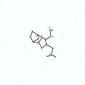 CN(C)CC1CC2C3CCC(C3)C2C1CS